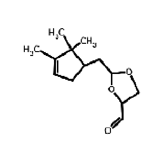 CC1=CCC(CC2OCC(C=O)O2)C1(C)C